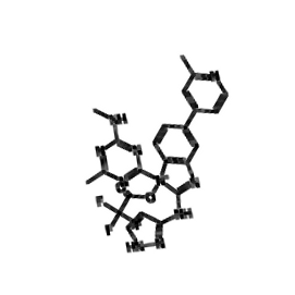 CNc1nc(C)nc([N+]2(OC(=O)C(F)(F)F)C(Nc3cc[nH]n3)=Nc3cc(-c4ccnc(C)c4)ccc32)n1